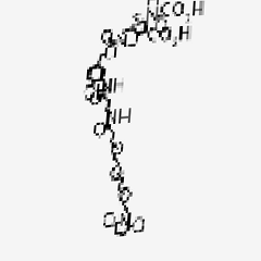 O=C(CCOCCOCCOCCN1C(=O)C=CC1=O)NCCC(=O)Nc1cc(COC(=O)N2CCc3c(sc(NC(=O)C(=O)O)c3C(=O)O)C2)ccc1O